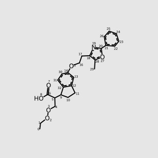 CCOOCC(C(=O)O)C1CCc2cc(OCCc3nc(-c4ccccc4)oc3C)ccc21